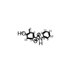 Cc1cc(S(=O)(=O)Nc2ccccc2)ccc1O